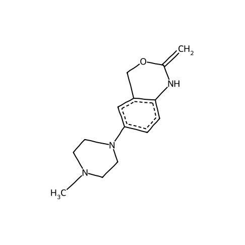 C=C1Nc2ccc(N3CCN(C)CC3)cc2CO1